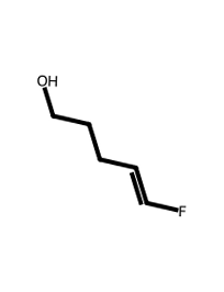 OCCCC=CF